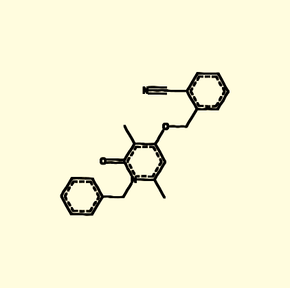 Cc1c(OCc2ccccc2C#N)cc(C)n(Cc2ccccc2)c1=O